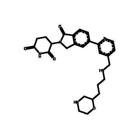 O=C1CCC(N2Cc3cc(-c4cc(CNCCCC5CNCCO5)ccn4)ccc3C2=O)C(=O)N1